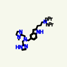 CCCN(CCC)CCCc1cc2cc(CN(CC3=NCCN3C)Cc3ncc[nH]3)ccc2[nH]1